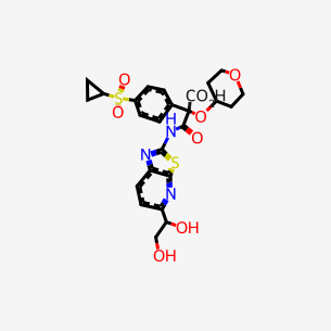 O=C(O)C(OC1CCOCC1)(C(=O)Nc1nc2ccc(C(O)CO)nc2s1)c1ccc(S(=O)(=O)C2CC2)cc1